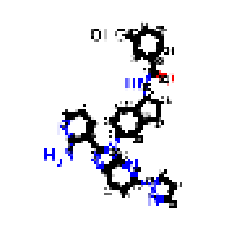 Nc1ncccc1-c1nc2ccc(-n3cccn3)nc2n1-c1ccc2c(c1)CC[C@@H]2NC(=O)c1cccc(C=O)c1